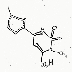 CN1C(C(=O)O)=CC(c2ccc(I)s2)=NS1(=O)=O